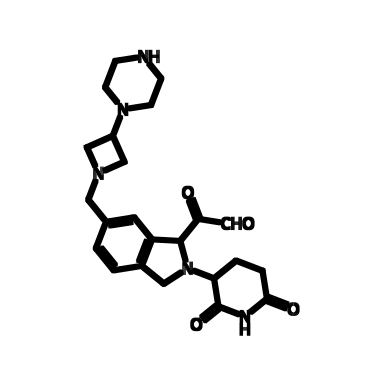 O=CC(=O)C1c2cc(CN3CC(N4CCNCC4)C3)ccc2CN1C1CCC(=O)NC1=O